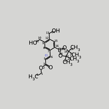 CCOC(=O)/C=C/c1cc(CO)c(CO)cc1B1OC(C)(C)C(C)(C)O1